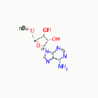 CCCCOC[C@H]1O[C@@H](n2cnc3c(N)ncnc32)C(O)C1O